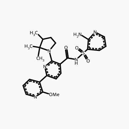 COc1ncccc1-c1ccc(C(=O)NS(=O)(=O)c2cccnc2N)c(N2CCC(C)C2(C)C)n1